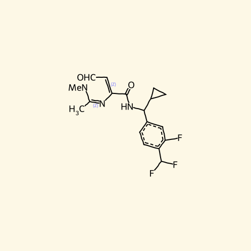 CN/C(C)=N\C(=C/C=O)C(=O)NC(c1ccc(C(F)F)c(F)c1)C1CC1